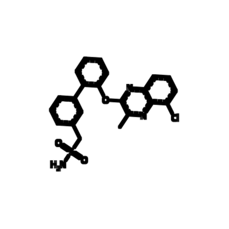 Cc1nc2c(Cl)cccc2nc1Oc1ccccc1-c1cccc(CS(N)(=O)=O)c1